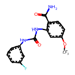 NC(=O)c1ccc(OC(F)(F)F)cc1NC(=O)Nc1cccc(F)c1